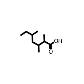 CCC(C)CC(C)C(C)C(=O)O